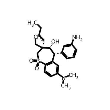 CCCC[C@@]1(CC)CS(=O)(=O)c2ccc(N(C)C)cc2[C@@H](c2cccc(N)c2)[C@H]1O